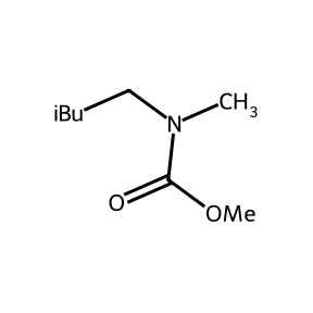 CCC(C)CN(C)C(=O)OC